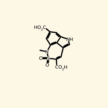 CN1c2cc(C(=O)O)cc3[nH]cc(c23)C=C(C(=O)O)S1(=O)=O